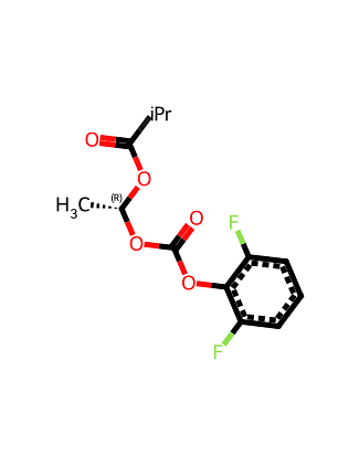 CC(C)C(=O)O[C@@H](C)OC(=O)Oc1c(F)cccc1F